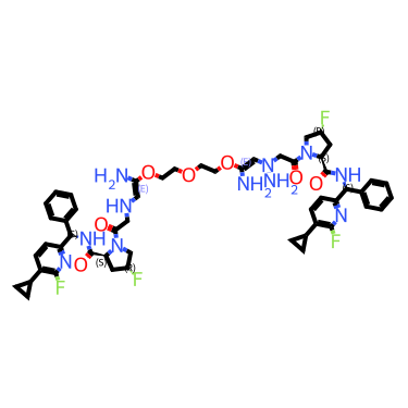 N/C(=C\NCC(=O)N1C[C@H](F)C[C@H]1C(=O)N[C@@H](c1ccccc1)c1ccc(C2CC2)c(F)n1)OCCOCCO/C(N)=C/N(N)CC(=O)N1C[C@H](F)C[C@H]1C(=O)N[C@@H](c1ccccc1)c1ccc(C2CC2)c(F)n1